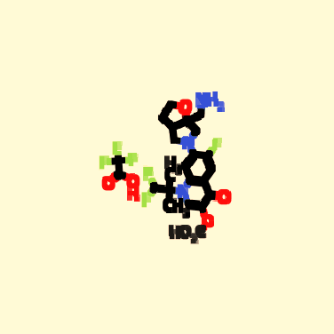 CC(C)(C(F)F)n1cc(OC(=O)O)c(=O)c2cc(F)c(N3CC4CCOC4(CN)C3)cc21.O=C(O)C(F)(F)F